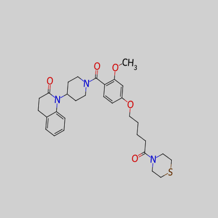 COc1cc(OCCCCC(=O)N2CCSCC2)ccc1C(=O)N1CCC(N2C(=O)CCc3ccccc32)CC1